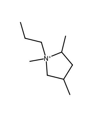 CCC[N+]1(C)CC(C)CC1C